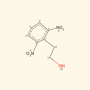 O=[N+]([O-])c1cccc([N+](=O)[O-])c1CCO